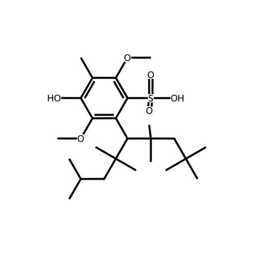 COc1c(O)c(C)c(OC)c(S(=O)(=O)O)c1C(C(C)(C)CC(C)C)C(C)(C)CC(C)(C)C